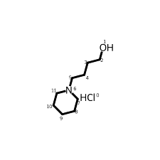 Cl.OCCCCN1CCCCC1